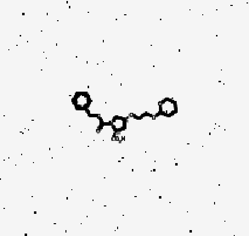 O=C(O)[C@@H]1C[C@@H](OCCOC2CCCCO2)CN1C(=O)OCc1ccccc1